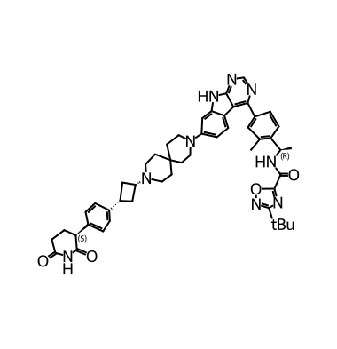 Cc1cc(-c2ncnc3[nH]c4cc(N5CCC6(CC5)CCN([C@H]5C[C@@H](c7ccc([C@@H]8CCC(=O)NC8=O)cc7)C5)CC6)ccc4c23)ccc1[C@@H](C)NC(=O)c1nc(C(C)(C)C)no1